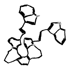 C(=C\c1c[nH]c2ccccc12)/c1cc[n+]2c(c1)-c1c(ccc3c1-c1cccc(/C=C/c4c[nH]c5ccccc45)[n+]1CCC3)CCC2